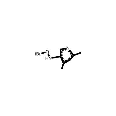 Cc1cc(C)c(NOC(C)(C)C)cn1